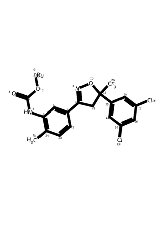 CCCCOC(=O)Nc1cc(C2=NOC(c3cc(Cl)cc(Cl)c3)(C(F)(F)F)C2)ccc1C